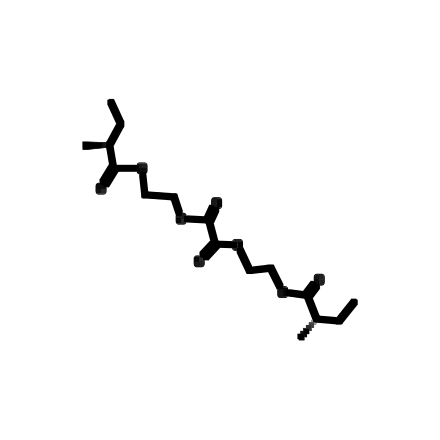 CC[C@H](C)C(=O)OCCOC(=O)C(=O)OCCOC(=O)[C@@H](C)CC